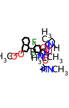 CNCC1(COc2nc(N3C[C@H]4CC[C@@](C)(C3)N4C(=O)OC(C)(C)C)c3cc(F)c(-c4cc(OCOC)cc5ccccc45)c(F)c3n2)CC1